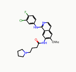 COc1cc2ccnc(Nc3ccc(F)c(Cl)c3)c2cc1NC(=O)CCCN1CCCC1